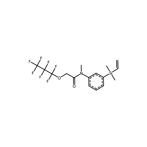 C=C[Si](C)(C)c1cccc(N(C)C(=O)COC(F)(F)C(F)(F)C(F)(F)F)c1